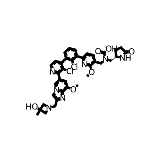 COc1nc(-c2cccc(-c3ccnc(-c4cc(OC)c5nc(CN6CC(C)(O)C6)cn5c4)c3Cl)c2Cl)ccc1CN(C[C@@H]1CCC(=O)N1)C(=O)O